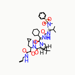 C=CCNC(=O)C(=O)C(CC1CC1)NC(=O)[C@@H]1[C@@H]2[C@H](CN1C(=O)[C@@H](NC(=O)N[C@H](CN(C)S(=O)(=O)c1ccccc1)C(C)C)C1CCCCC1)C2(C)C